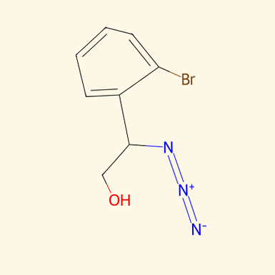 [N-]=[N+]=NC(CO)c1ccccc1Br